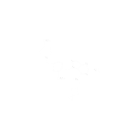 COc1cc(CN2CCC(OC)CC2)ccc1Cn1ncc2nc(N)nc(NCC3CC4(CC4)C3)c21